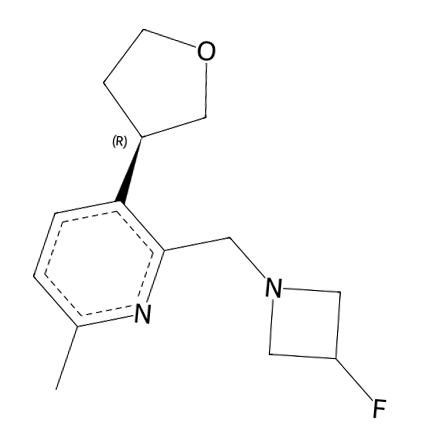 Cc1ccc([C@H]2CCOC2)c(CN2CC(F)C2)n1